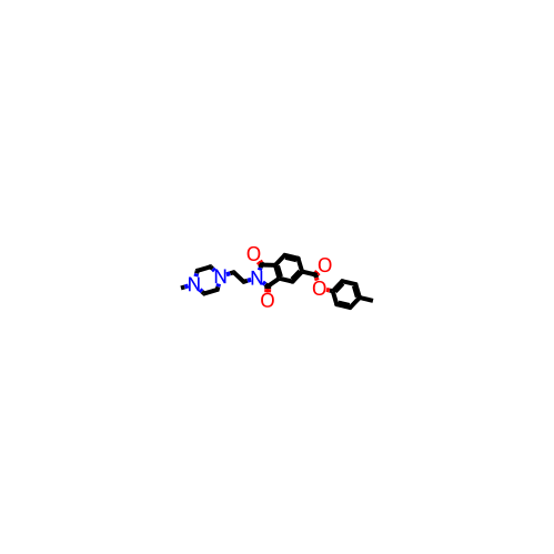 Cc1ccc(OC(=O)c2ccc3c(c2)C(=O)N(CCN2CCN(C)CC2)C3=O)cc1